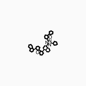 C1=CC2=C(c3nc(-c4ccccc4)nc(-c4cccc5c4oc4ccccc45)n3)C=CC(c3cccc4oc5c(-c6cccc7ccccc67)cccc5c34)C2C=C1